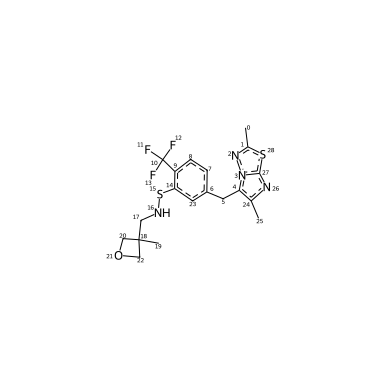 Cc1nn2c(Cc3ccc(C(F)(F)F)c(SNCC4(C)COC4)c3)c(C)nc2s1